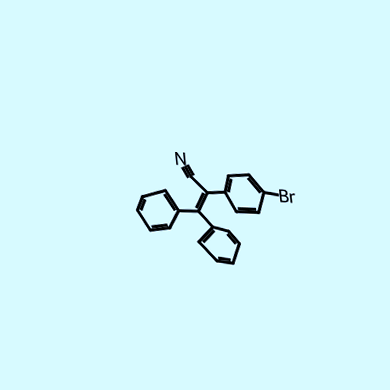 N#CC(=C(c1ccccc1)c1ccccc1)c1ccc(Br)cc1